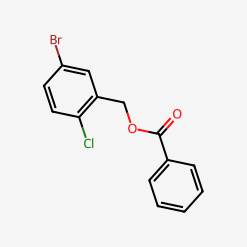 O=C(OCc1cc(Br)ccc1Cl)c1ccccc1